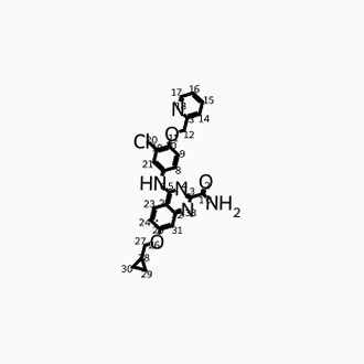 NC(=O)c1nc(Nc2ccc(OCc3ccccn3)c(Cl)c2)c2c[c]c(OCC3CC3)cc2n1